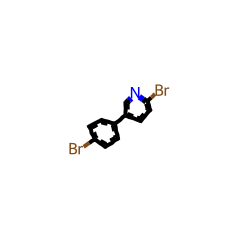 Brc1ccc(-c2ccc(Br)nc2)cc1